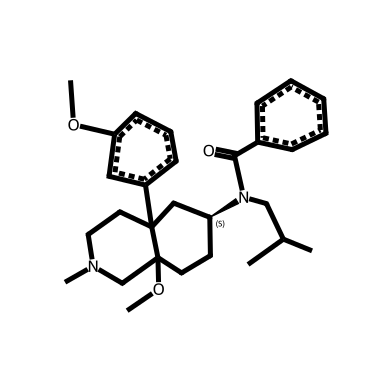 COc1cccc(C23CCN(C)CC2(OC)CC[C@H](N(CC(C)C)C(=O)c2ccccc2)C3)c1